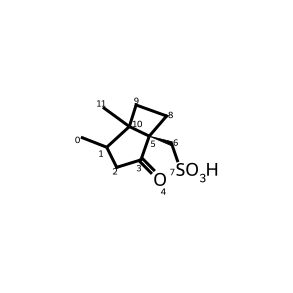 CC1CC(=O)[C@@]2(CS(=O)(=O)O)CCC12C